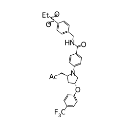 CCS(=O)(=O)c1ccc(CNC(=O)c2ccc(N3C[C@H](Oc4ccc(C(F)(F)F)cc4)C[C@H]3CC(C)=O)cc2)cc1